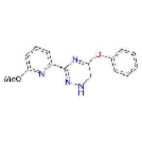 COc1cccc(C2=NNCC(Oc3ccccc3)=N2)n1